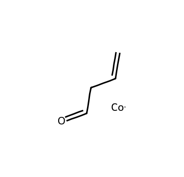 C=CCC=O.[Co]